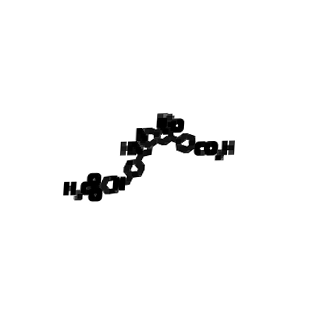 CCn1c(=O)c(-c2ccc(C(=O)O)cc2)cc2c3cc(-c4ccc(CN5CCC(S(C)(=O)=O)CC5)cc4)[nH]c3ncc21